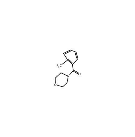 O=C(c1[c]cccc1C(F)(F)F)N1CCOCC1